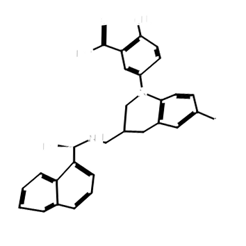 Cc1ccc(N2CC(CN[C@H](C)c3cccc4ccccc34)Cc3cc(F)ccc32)cc1C(=O)O